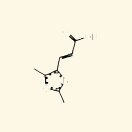 Cc1nc(C=CC(=O)O)c(C)o1